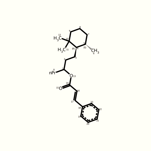 CCCC(CC[C@@H]1[C@@H](C)CCCC1(C)C)OC(=O)C=Cc1ccccc1